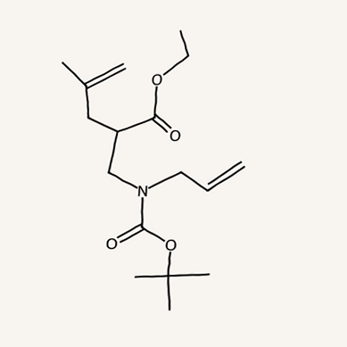 C=CCN(CC(CC(=C)C)C(=O)OCC)C(=O)OC(C)(C)C